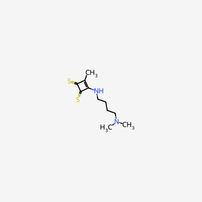 Cc1c(NCCCCN(C)C)c(=S)c1=S